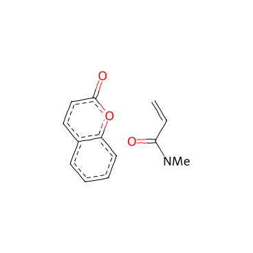 C=CC(=O)NC.O=c1ccc2ccccc2o1